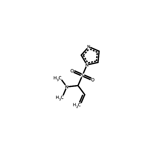 C=CC(N(C)C)S(=O)(=O)n1ccnc1